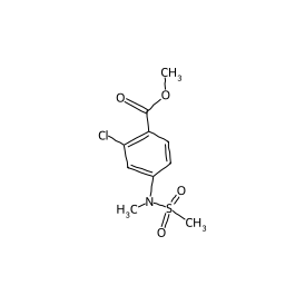 COC(=O)c1ccc(N(C)S(C)(=O)=O)cc1Cl